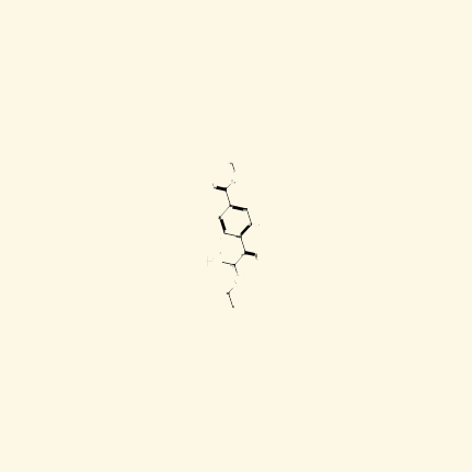 CCOC(Br)C(=O)c1ccc(C(=O)OC)cc1